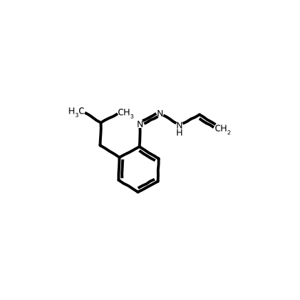 C=CN/N=N\c1ccccc1CC(C)C